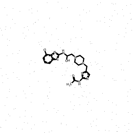 CC(=O)Nc1ncc(CN2CCN(CC(O)Nc3nc4c(Cl)cccc4s3)CC2)s1